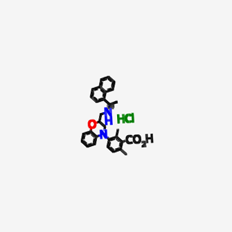 Cc1ccc(N2CC(CN[C@H](C)c3cccc4ccccc34)Oc3ccccc32)c(C)c1C(=O)O.Cl